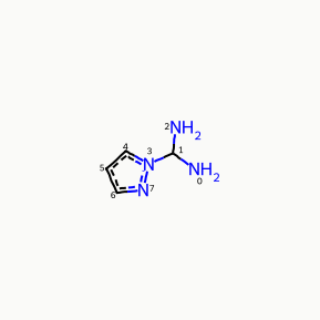 NC(N)n1cccn1